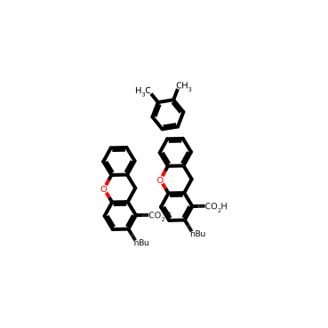 CCCCc1ccc2c(c1C(=O)O)Cc1ccccc1O2.CCCCc1ccc2c(c1C(=O)O)Cc1ccccc1O2.Cc1ccccc1C